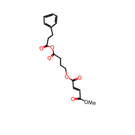 COC(=O)C=CC(=O)OCCCC(=O)OC(=O)CCc1ccccc1